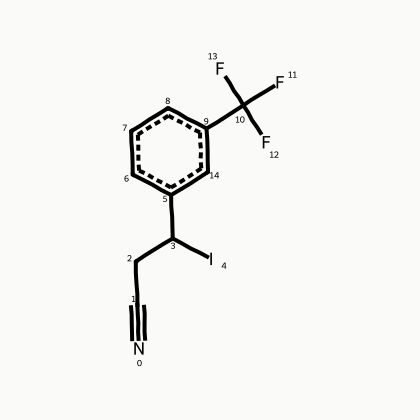 N#CCC(I)c1cccc(C(F)(F)F)c1